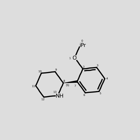 CC(C)Oc1ccccc1[C@@H]1CCCCN1